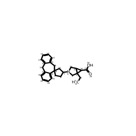 CCC12CN(C3CCC4(Cc5ccccc5Cc5ccccc54)C3)CC1C2C(=O)O